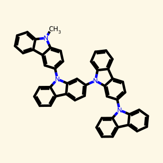 Cn1c2ccccc2c2cc(-n3c4ccccc4c4ccc(-n5c6ccccc6c6ccc(-n7c8ccccc8c8ccccc87)cc65)cc43)ccc21